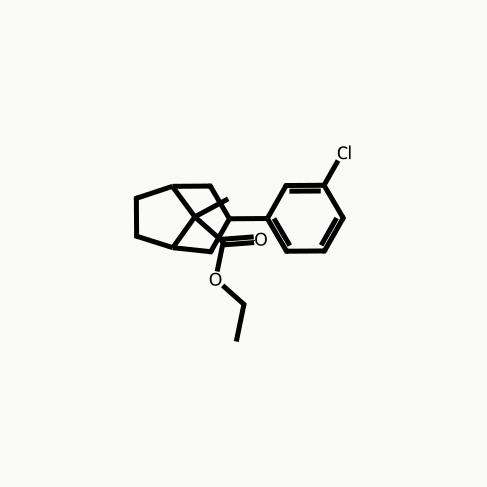 CCOC(=O)C1(C)C2CCC1CC(c1cccc(Cl)c1)C2